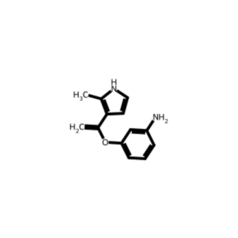 C=C(Oc1cccc(N)c1)c1cc[nH]c1C